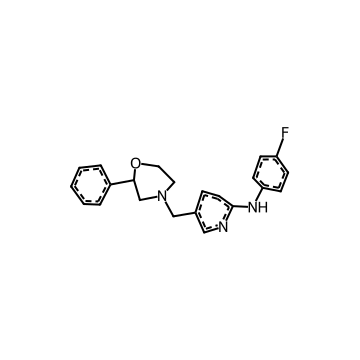 Fc1ccc(Nc2ccc(CN3CCOC(c4ccccc4)C3)cn2)cc1